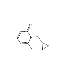 Cc1cccc(=O)n1CC1CC1